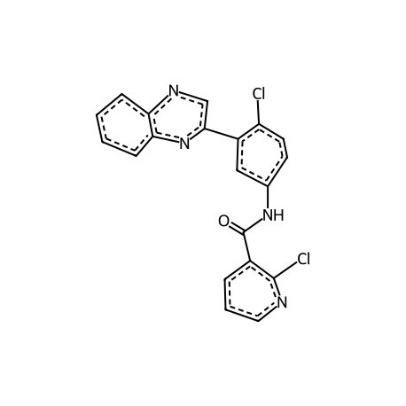 O=C(Nc1ccc(Cl)c(-c2cnc3ccccc3n2)c1)c1cccnc1Cl